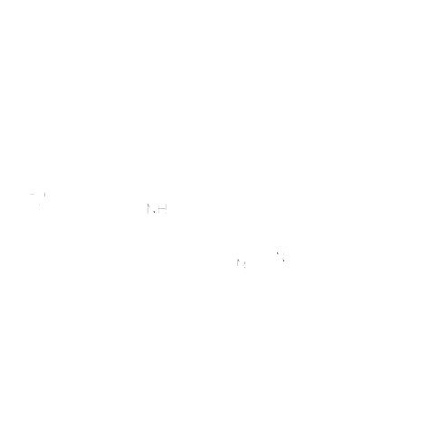 C=CCNCc1ccc(-c2ccccc2)nn1